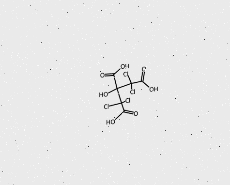 O=C(O)C(Cl)(Cl)C(O)(C(=O)O)C(Cl)(Cl)C(=O)O